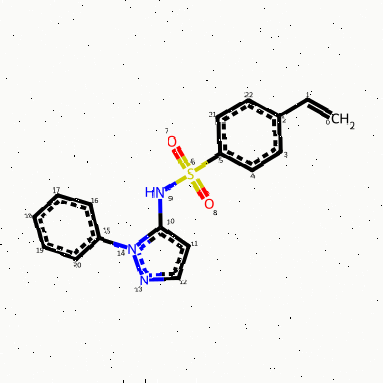 C=Cc1ccc(S(=O)(=O)Nc2ccnn2-c2ccccc2)cc1